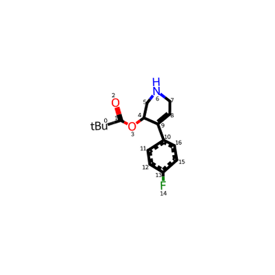 CC(C)(C)C(=O)OC1CNCC=C1c1ccc(F)cc1